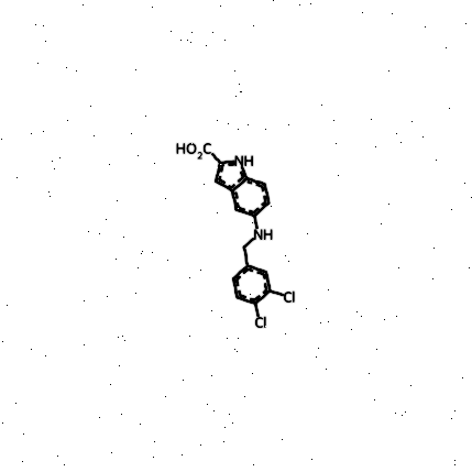 O=C(O)c1cc2cc(NCc3ccc(Cl)c(Cl)c3)ccc2[nH]1